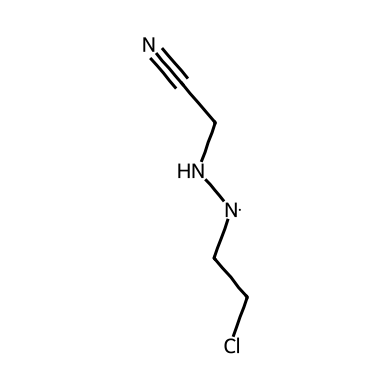 N#CCN[N]CCCl